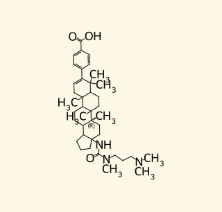 CN(C)CCCN(C)C(=O)NC12CCCC1C1CCC3C4(C)CC=C(c5ccc(C(=O)O)cc5)C(C)(C)C4CCC3(C)[C@]1(C)CC2